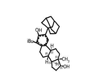 CCC(C)c1c(O)c(C23CC4CC(CC(C4)C2)C3)cc2c1CC[C@@H]1[C@@H]2CC[C@]2(C)[C@@H](O)CC[C@@H]12